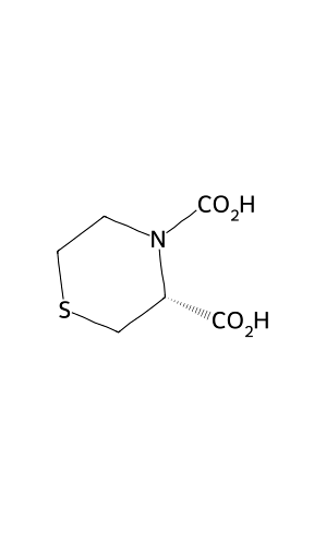 O=C(O)[C@@H]1CSCCN1C(=O)O